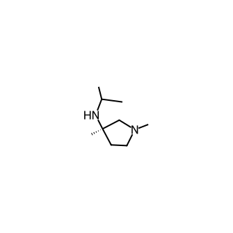 CC(C)N[C@]1(C)CCN(C)C1